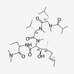 C/C=C/C[C@@H](C)[C@@H](O)C(C(=O)NC(CC)C(=O)N(C)C)N(C)C(=O)[C@H](C(C)C)N(C)C(=O)[C@H](CC(C)C)N(C)C(=O)C(C)C